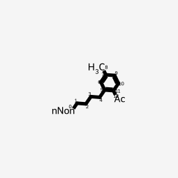 CCCCCCCCCCCCCc1cc(C)ccc1C(C)=O